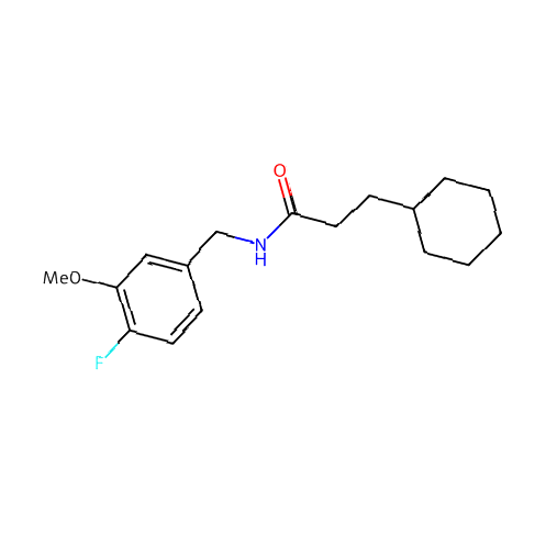 COc1cc(CNC(=O)CCC2CCCCC2)ccc1F